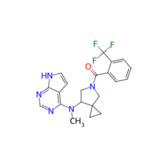 CN(c1ncnc2[nH]ccc12)C1CN(C(=O)c2ccccc2C(F)(F)F)CC12CC2